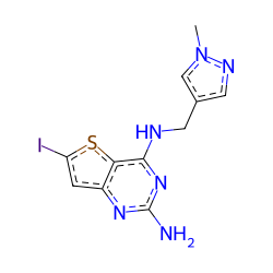 Cn1cc(CNc2nc(N)nc3cc(I)sc23)cn1